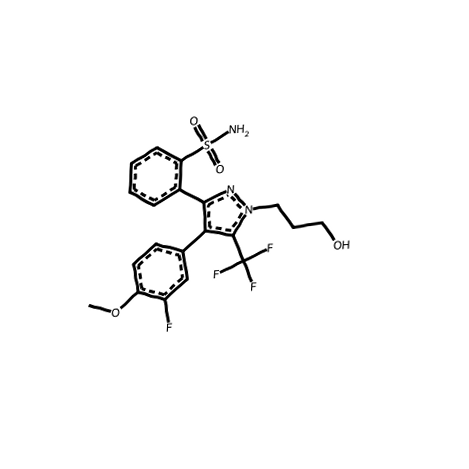 COc1ccc(-c2c(-c3ccccc3S(N)(=O)=O)nn(CCCO)c2C(F)(F)F)cc1F